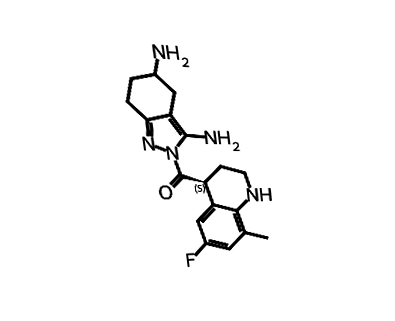 Cc1cc(F)cc2c1NCC[C@@H]2C(=O)n1nc2c(c1N)CC(N)CC2